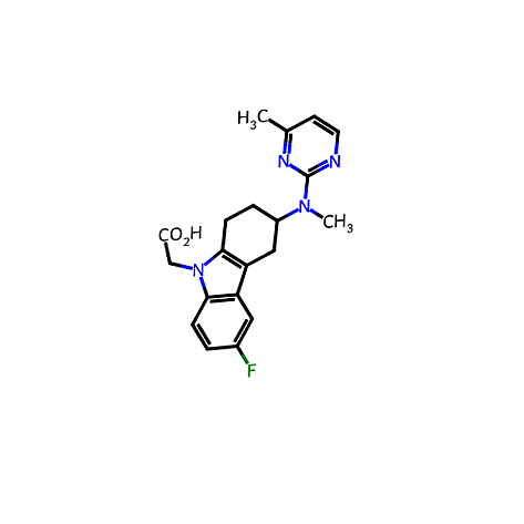 Cc1ccnc(N(C)C2CCc3c(c4cc(F)ccc4n3CC(=O)O)C2)n1